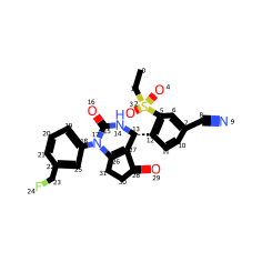 CCS(=O)(=O)c1cc(C#N)ccc1[C@H]1NC(=O)N(c2cccc(CF)c2)C2=C1C(=O)CC2